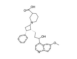 COc1ccc2nccc(C(O)CC[C@H]3C(N4CCCC(C(=O)O)C4)C[C@H]3c3ccccc3)c2c1